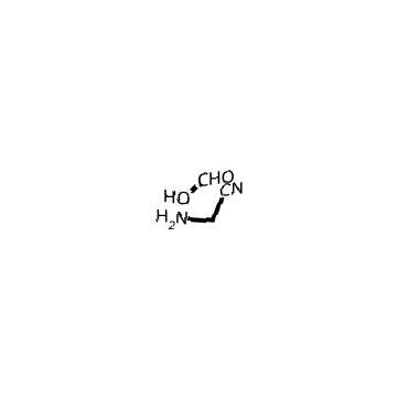 N#CCN.O=CO